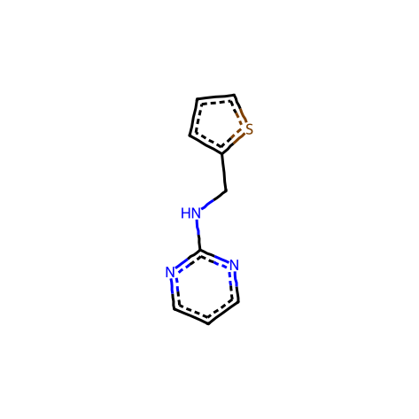 c1cnc(NCc2cccs2)nc1